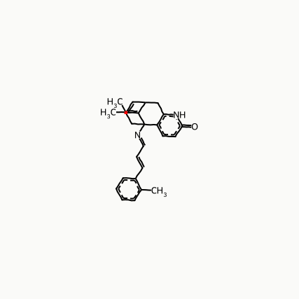 C/C=C1\C2C=C(C)CC1(/N=C/C=C/c1ccccc1C)c1ccc(=O)[nH]c1C2